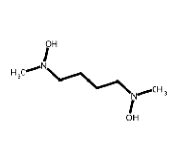 CN(O)CCCCN(C)O